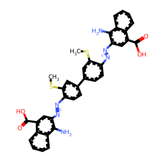 CSc1cc(-c2ccc(/N=N/c3cc(C(=O)O)c4ccccc4c3N)c(SC)c2)ccc1/N=N/c1cc(C(=O)O)c2ccccc2c1N